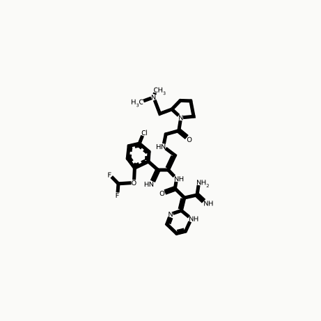 CN(C)CC1CCCN1C(=O)CN/C=C(/NC(=O)/C(C(=N)N)=C1\N=CC=CN1)C(=N)c1cc(Cl)ccc1OC(F)F